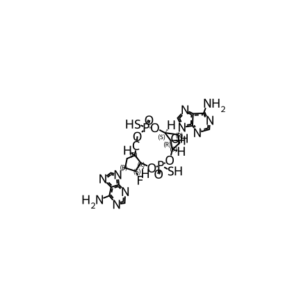 Nc1ncnc2c1ncn2[C@@H]1C[C@@H]2COP(=O)(S)O[C@@H]3[C@H](O)[C@H](C[C@H]3n3cnc4c(N)ncnc43)OP(=O)(S)O[C@H]2[C@H]1F